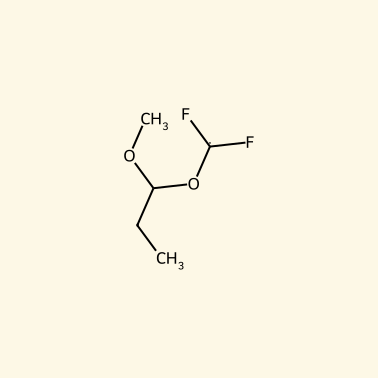 CCC(OC)O[C](F)F